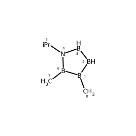 CB1BBN(C(C)C)B1C